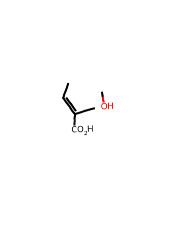 CC=C(C)C(=O)O.CO